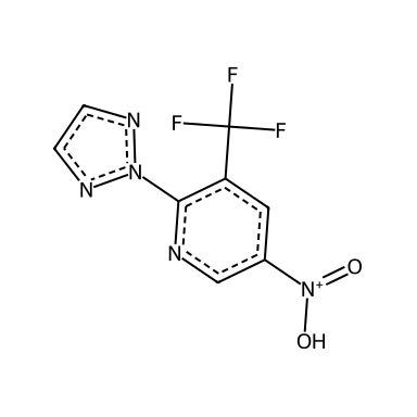 O=[N+](O)c1cnc(-n2nccn2)c(C(F)(F)F)c1